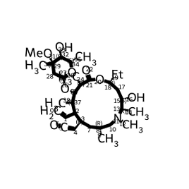 C=CC1[C@H](C=C=O)C[C@@H](C)CN(C)[C@H](C)[C@@H](O)C[C@@H](CC)OC(=O)[C@H](C)[C@@H](O[C@H]2C[C@@](C)(OC)[C@@H](O)[C@H](C)O2)[C@@H]1C